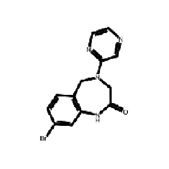 O=C1CN(c2cnccn2)Cc2ccc(Br)cc2N1